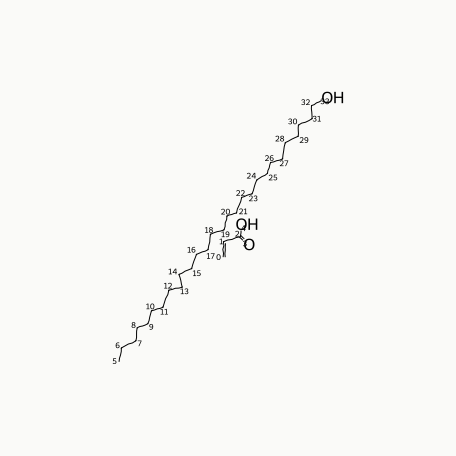 C=CC(=O)O.CCCCCCCCCCCCCCCCCCCCCCCCCCCCO